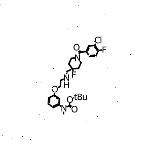 CN(C(=O)OC(C)(C)C)c1cccc(OCCNCC2(F)CCN(C(=O)c3ccc(F)c(Cl)c3)CC2)c1